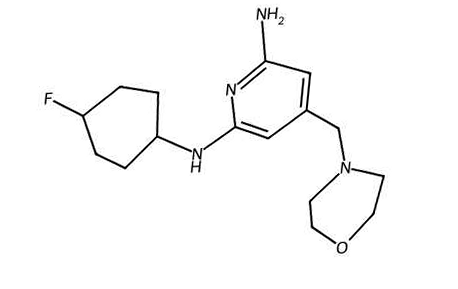 Nc1cc(CN2CCOCC2)cc(NC2CCC(F)CC2)n1